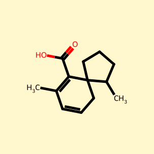 CC1=C(C(=O)O)C2(CC=C1)CCCC2C